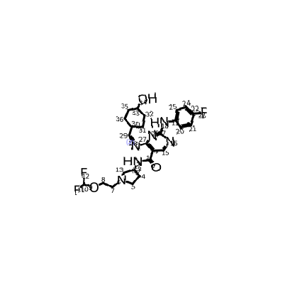 O=C(N[C@H]1CCN(CCOC(F)F)C1)c1cnc(Nc2ccc(F)cc2)nc1/N=C\C1CCC(O)CC1